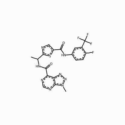 CC(NC(=O)c1ncnc2c1nnn2C)c1ncc(C(=O)Nc2ccc(F)c(C(F)(F)F)c2)s1